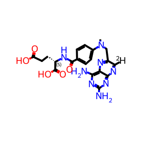 [2H]c1nc2nc(N)nc(N)c2nc1CN(C)c1ccc(C(=O)N[C@@H](CCC(=O)O)C(=O)O)cc1